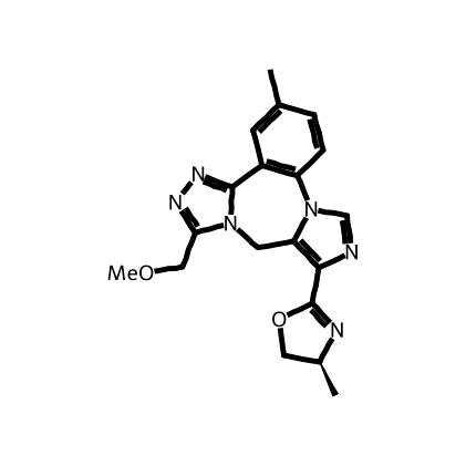 COCc1nnc2n1Cc1c(C3=N[C@@H](C)CO3)ncn1-c1ccc(C)cc1-2